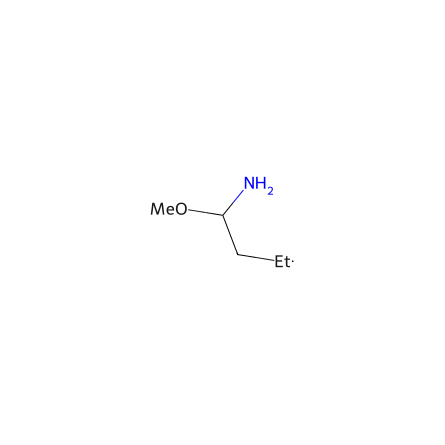 C[CH]CC(N)OC